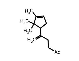 C=C(CCC(C)=O)C1CC=C(C)C1(C)C